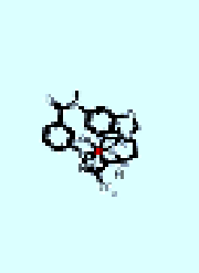 CN(C(=O)c1cccc(-n2nc(C(F)(F)F)c3c2C[C@H]2CC[C@@H]3N2C(=O)C(C)(C)C)c1)c1ccc2c(c1)OCO2